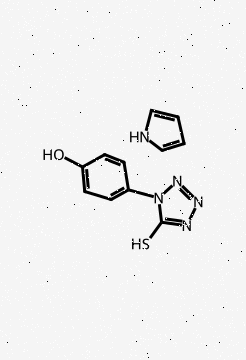 Oc1ccc(-n2nnnc2S)cc1.c1cc[nH]c1